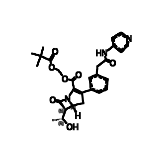 C[C@@H](O)[C@H]1C(=O)N2C(C(=O)OCOC(=O)C(C)(C)C)=C(c3cccc(CC(=O)Nc4ccncc4)c3)C[C@H]12